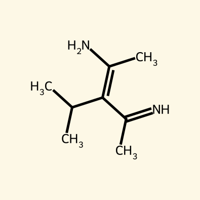 CC(=N)/C(=C(\C)N)C(C)C